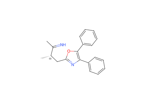 [CH2][C@@H](Cc1nc(-c2ccccc2)c(-c2ccccc2)o1)C(C)=N